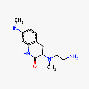 CNc1ccc2c(c1)NC(=O)C(N(C)CCN)C2